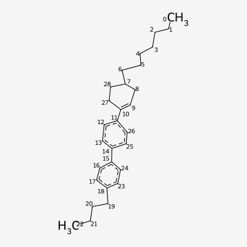 CCCCCCCC1CC=C(c2ccc(-c3ccc(CCCC)cc3)cc2)CC1